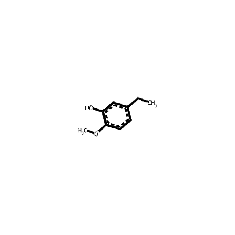 C[CH]c1ccc(OC)c(O)c1